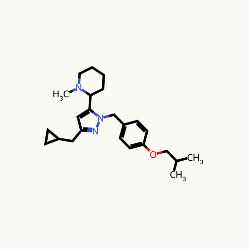 CC(C)COc1ccc(Cn2nc(CC3CC3)cc2C2CCCCN2C)cc1